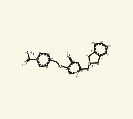 CC(=O)c1ccc(COc2coc(CN3Cc4ccccc4C3)cc2=O)cc1